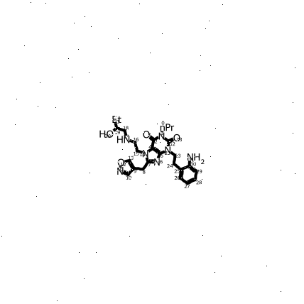 CCCn1c(=O)c2c(nc(Cc3cnoc3)n2CCNCC(O)CC)n(CCc2ccccc2N)c1=O